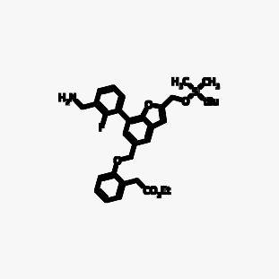 CCOC(=O)Cc1ccccc1OCc1cc(-c2cccc(CN)c2F)c2oc(CO[Si](C)(C)C(C)(C)C)cc2c1